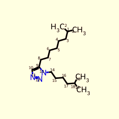 CC(C)CCCCCCc1cnnn1CCCCC(C)C